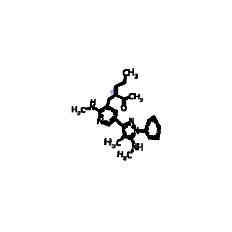 CC/C=C(/Cc1cc(-c2nn(-c3ccccc3)c(NC)c2C)cnc1NC)C(C)=O